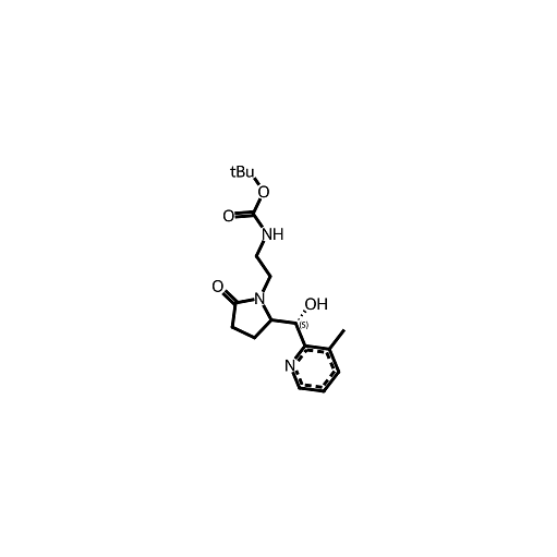 Cc1cccnc1[C@@H](O)C1CCC(=O)N1CCNC(=O)OC(C)(C)C